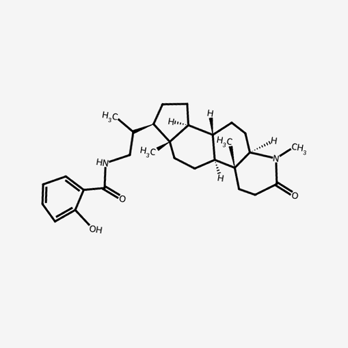 CC(CNC(=O)c1ccccc1O)[C@H]1CC[C@H]2[C@@H]3CC[C@H]4N(C)C(=O)CC[C@]4(C)[C@H]3CC[C@]12C